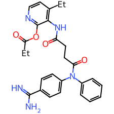 CCC(=O)Oc1nccc(CC)c1NC(=O)CCC(=O)N(c1ccccc1)c1ccc(C(=N)N)cc1